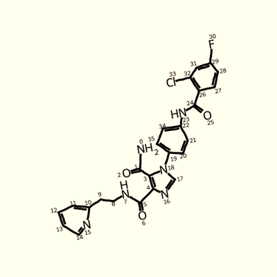 NC(=O)c1c(C(=O)NCCc2ccccn2)ncn1-c1ccc(NC(=O)c2ccc(F)cc2Cl)cc1